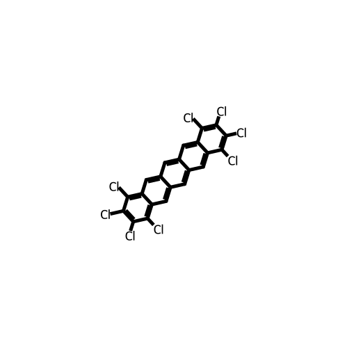 Clc1c(Cl)c(Cl)c2cc3cc4cc5c(Cl)c(Cl)c(Cl)c(Cl)c5cc4cc3cc2c1Cl